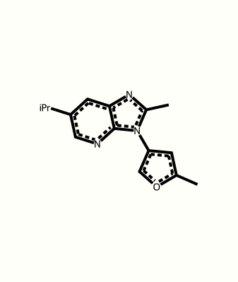 Cc1cc(-n2c(C)nc3cc(C(C)C)cnc32)co1